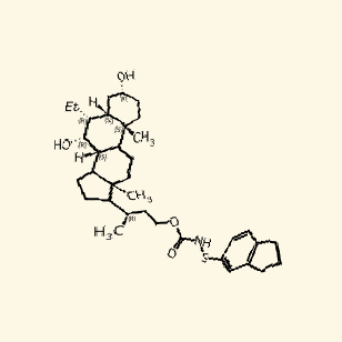 CC[C@H]1[C@@H](O)[C@H]2C3CCC([C@H](C)CCOC(=O)NSc4ccc5c(c4)CCC5)C3(C)CCC2[C@@]2(C)CC[C@@H](O)C[C@@H]12